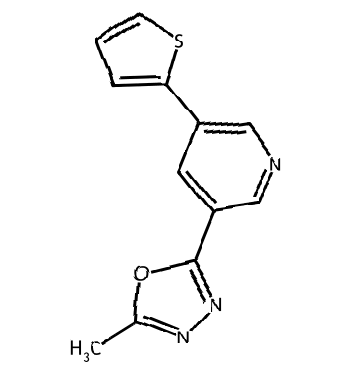 Cc1nnc(-c2cncc(-c3cccs3)c2)o1